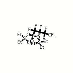 CC[Si](CC)(CC)OP(=O)(O[Si](CC)(CC)CC)C(F)(F)C(F)(F)C(F)(F)C(F)(F)F